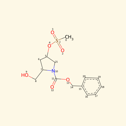 CS(=O)(=O)OC1CC(CO)N(C(=O)OCc2ccccc2)C1